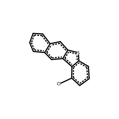 Clc1cccc2sc3cc4ccccc4cc3c12